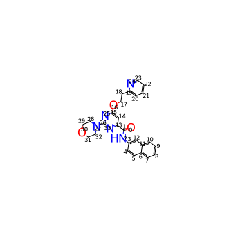 O=C(Nc1ccc2ccccc2c1)c1cc(OCCc2ccccn2)nc(N2CCOCC2)n1